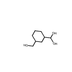 OCC1CCCC(C(O)O)C1